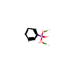 O=P(OF)(OF)c1[c]cccc1